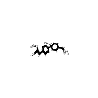 CCCCOC(=O)Cc1ccc(C2(C=O)CCC(CN)CC2)cc1